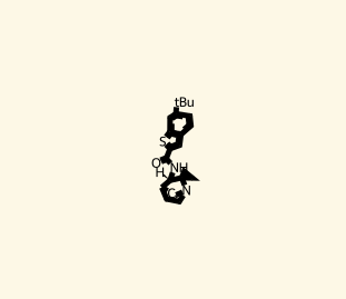 CC(C)(C)c1ccc2cc(C(=O)N[C@@H]3C4CCN(CC4)C34CC4)sc2c1